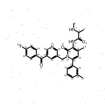 CNC(C)C(=O)Nc1c(I)cc(-c2cccc(C)c2)n(Cc2cncc(C(=O)c3ccc(F)cc3)c2)c1=O